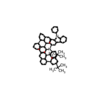 CC(C)(C)c1cc(-c2cccc3cccc(-c4ccccc4N(c4ccc5c(c4)c4ccccc4n5-c4ccccc4)c4ccccc4-c4cccc5cccc(-c6ccccc6)c45)c23)cc(C(C)(C)C)c1